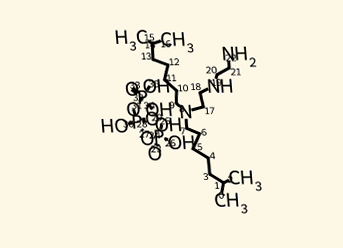 CC(C)CCCCCN(CCCCCC(C)C)CCNCCN.O=P(O)(O)OP(=O)(O)OP(=O)(O)O